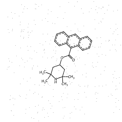 CC1(C)CC(OC(=O)c2c3ccccc3cc3ccccc23)CC(C)(C)N1